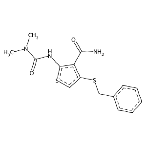 CN(C)C(=O)Nc1scc(SCc2ccccc2)c1C(N)=O